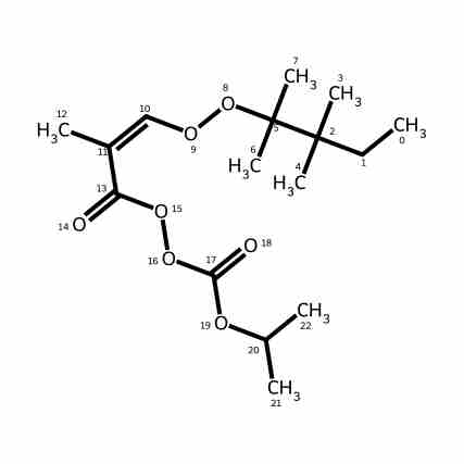 CCC(C)(C)C(C)(C)OOC=C(C)C(=O)OOC(=O)OC(C)C